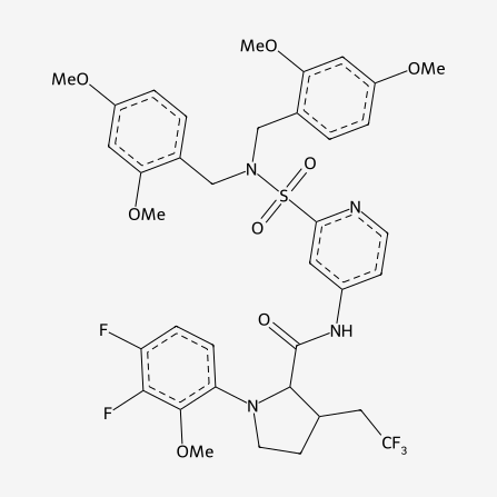 COc1ccc(CN(Cc2ccc(OC)cc2OC)S(=O)(=O)c2cc(NC(=O)C3C(CC(F)(F)F)CCN3c3ccc(F)c(F)c3OC)ccn2)c(OC)c1